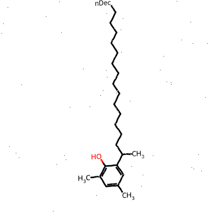 CCCCCCCCCCCCCCCCCCCCCCCCC(C)c1cc(C)cc(C)c1O